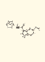 O=C(NCC12CCC(CC1)CC2)c1c[nH]c2ccc(CCl)cc12